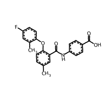 Cc1ccc(Oc2ccc(F)cc2C)c(C(=O)Nc2ccc(C(=O)O)cc2)c1